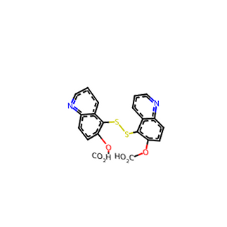 O=C(O)Oc1ccc2ncccc2c1SSc1c(OC(=O)O)ccc2ncccc12